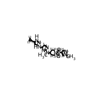 CN(c1nccc(Nc2cc(C3CC3)[nH]n2)n1)C1CCN(S(=O)(=O)c2cnn(C)c2)CC1